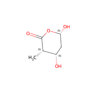 C[C@@H]1C(=O)O[C@H](O)C[C@@H]1O